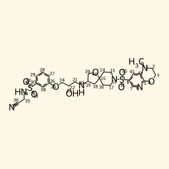 CN1CCOc2ncc(S(=O)(=O)N3CCC4(CC3)C[C@@H](NC[C@H](O)COc3cccc(S(=O)(=O)NCC#N)c3)CO4)cc21